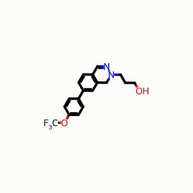 OCCCN1Cc2cc(-c3ccc(OC(F)(F)F)cc3)ccc2C=N1